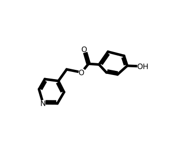 O=C(OCc1ccncc1)c1ccc(O)cc1